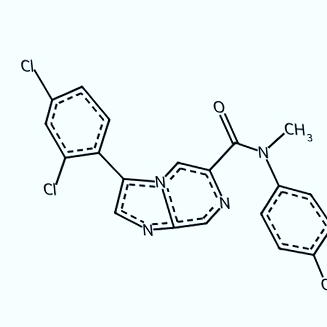 CN(C(=O)c1cn2c(-c3ccc(Cl)cc3Cl)cnc2cn1)c1ccc(C#N)cc1